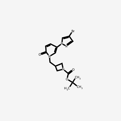 CC(C)(C)OC(=O)N1CC(Cn2cc(-n3cc(Br)cn3)ccc2=O)C1